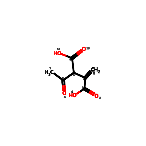 C=C(C(=O)O)C(C(C)=O)C(=O)O